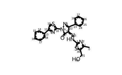 Cc1nc(NN=C2C(=O)N(c3nc(-c4ccccc4)cs3)N=C2c2ccccc2)sc1CO